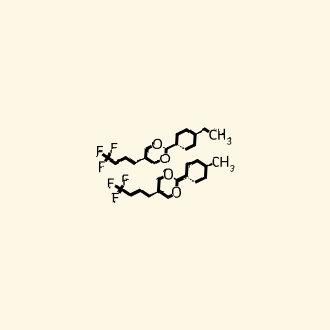 CC[C@H]1CC[C@H]([C@H]2OC[C@H](CCCC(F)(F)F)CO2)CC1.C[C@H]1CC[C@H]([C@H]2OC[C@H](CCCC(F)(F)F)CO2)CC1